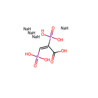 O=C(O)C(=CP(=O)(O)O)P(=O)(O)O.[NaH].[NaH].[NaH].[NaH]